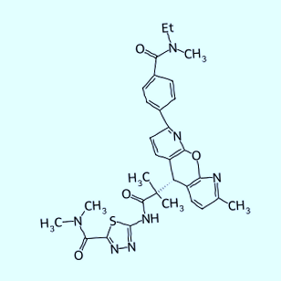 CCN(C)C(=O)c1ccc(-c2ccc3c(n2)Oc2nc(C)ccc2[C@@H]3C(C)(C)C(=O)Nc2nnc(C(=O)N(C)C)s2)cc1